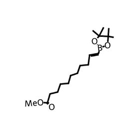 COC(=O)CCCCCCCC/C=C/B1OC(C)(C)C(C)(C)O1